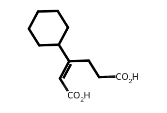 O=C(O)C=C(CCC(=O)O)C1CCCCC1